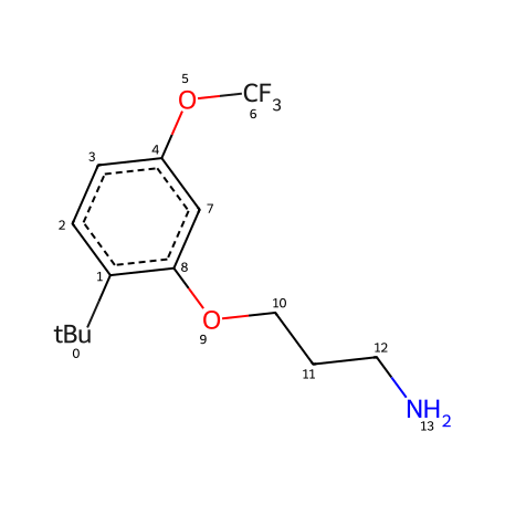 CC(C)(C)c1ccc(OC(F)(F)F)cc1OCCCN